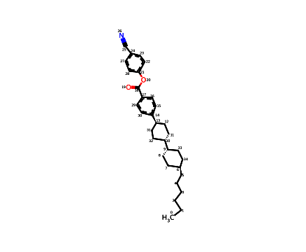 CCCCCC[C@H]1CC[C@H]([C@H]2CC[C@H](c3ccc(C(=O)Oc4ccc(C#N)cc4)cc3)CC2)CC1